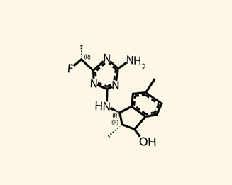 Cc1ccc2c(c1)[C@H](Nc1nc(N)nc([C@@H](C)F)n1)[C@@H](C)C2O